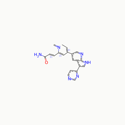 C=NC(=C\C(=C/C)c1cnc2[nH]cc(-c3ccncn3)c2c1)/C=C/C(N)=O